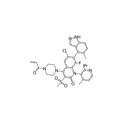 C=CC(=O)N1CCN(c2c(S(C)(=O)=O)c(=O)n(-c3c(C)ccnc3C(C)C)c3c(F)c(-c4c(C)ccc5[nH]ncc45)c(Cl)cc23)CC1